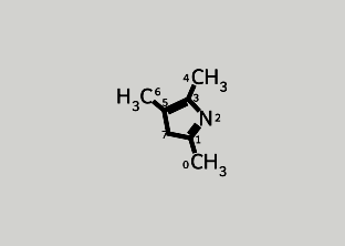 CC1=NC(C)=C(C)C1